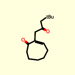 CC(C)(C)CC(=O)C/C1=C/CCCCCC1=O